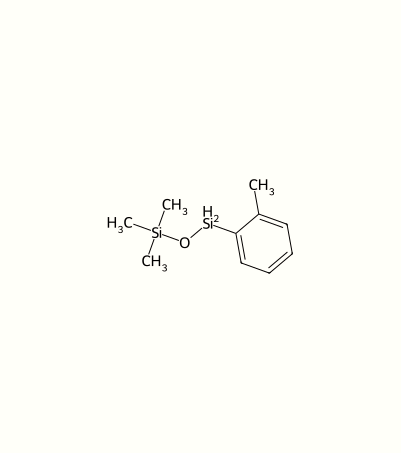 Cc1ccccc1[SiH2]O[Si](C)(C)C